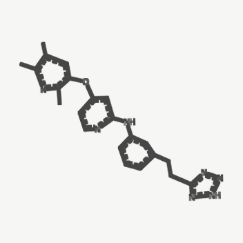 Cc1cc(Oc2ccnc(Nc3cccc(CCc4nn[nH]n4)c3)c2)c(C)nc1C